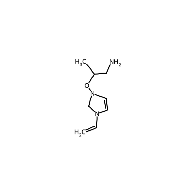 C=CN1C=CN(OC(C)CN)C1